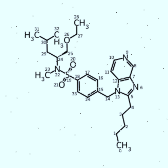 CCCCCc1nc2cnccc2n1Cc1ccc(S(=O)(=O)N(C)[C@H](COCC)CC(C)C)cc1